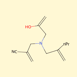 C=C(O)CN(CC(=C)C#N)CC(=C)CCC